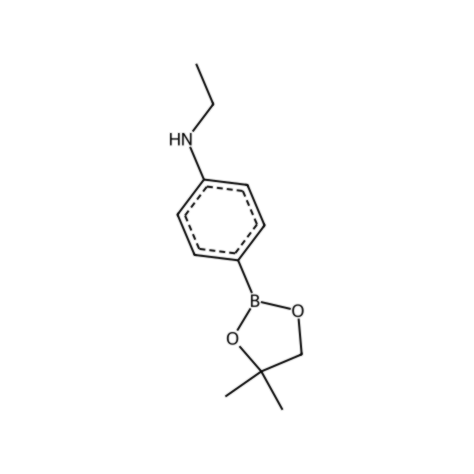 CCNc1ccc(B2OCC(C)(C)O2)cc1